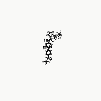 CC(C)(C)OC(=O)c1ccc(-c2ncc(NC(=O)[C@H]3CCCN3C(=O)OC(C)(C)C)cc2F)cc1